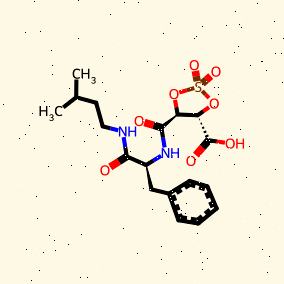 CC(C)CCNC(=O)[C@H](Cc1ccccc1)NC(=O)[C@H]1OS(=O)(=O)O[C@@H]1C(=O)O